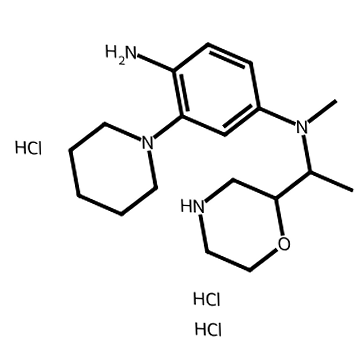 CC(C1CNCCO1)N(C)c1ccc(N)c(N2CCCCC2)c1.Cl.Cl.Cl